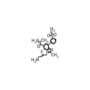 Cc1nc2c(-c3cccc(S(C)(=O)=O)c3)cc(C(=O)N(C)C)cc2n1C/C(F)=C/CN